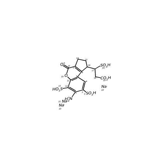 Nc1c(S(=O)(=O)O)cc2c3c(c(=O)oc2c1S(=O)(=O)O)CCC3C(CC(=O)O)S(=O)(=O)O.[Na].[Na].[Na]